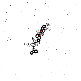 C[C@]1(C(=O)NC(=O)[C@@]2(C)CCC[C@]3(C)c4cc(NC(=O)C(CC(=O)O)NC(=O)OCC5c6ccccc6-c6ccccc65)ccc4CC[C@@H]23)CCC[C@]2(C)c3cc(N)ccc3CC[C@@H]12